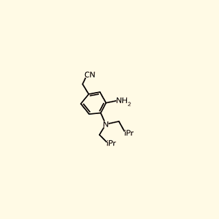 CC(C)CN(CC(C)C)c1ccc(CC#N)cc1N